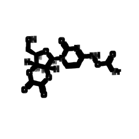 CC(C)C(=O)ONc1ccn([C@@H]2O[C@H](CO)[C@H]3OC(=O)C(=O)O[C@H]32)c(=O)n1